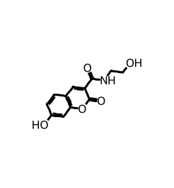 O=C(NCCO)c1cc2ccc(O)cc2oc1=O